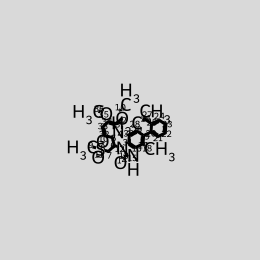 CCOc1nc(C(CS(C)(=O)=O)n2c(=O)[nH]c3c(C)c(-c4ccccc4C(C)C)ccc32)ccc1OC